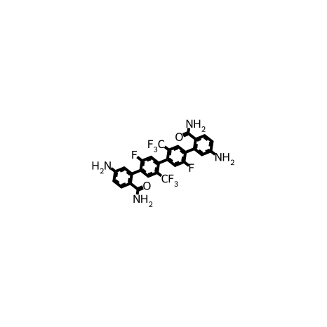 NC(=O)c1ccc(N)cc1-c1cc(C(F)(F)F)c(-c2cc(F)c(-c3cc(N)ccc3C(N)=O)cc2C(F)(F)F)cc1F